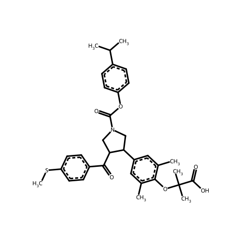 CSc1ccc(C(=O)C2CN(C(=O)Oc3ccc(C(C)C)cc3)CC2c2cc(C)c(OC(C)(C)C(=O)O)c(C)c2)cc1